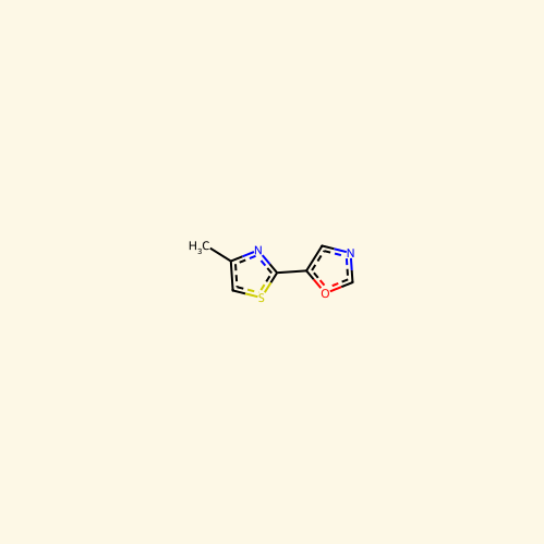 Cc1csc(-c2cnco2)n1